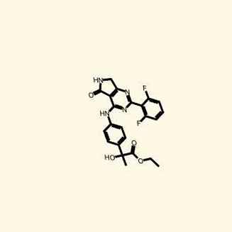 CCOC(=O)C(C)(O)c1ccc(Nc2nc(-c3c(F)cccc3F)nc3c2C(=O)NC3)cc1